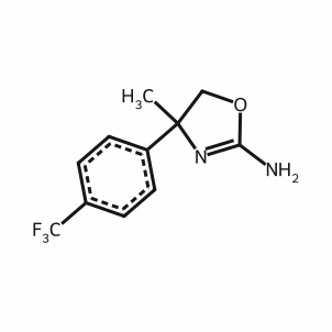 CC1(c2ccc(C(F)(F)F)cc2)COC(N)=N1